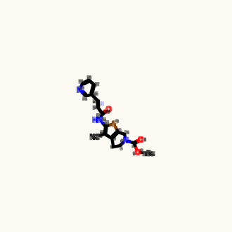 CCCCOC(=O)N1CCc2c(sc(NC(=O)/C=C/c3cccnc3)c2C#N)C1